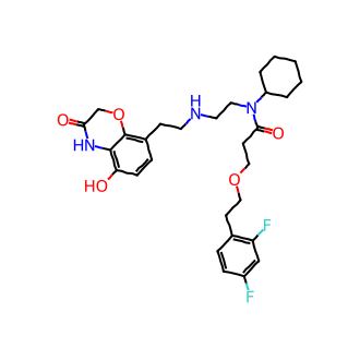 O=C1COc2c(CCNCCN(C(=O)CCOCCc3ccc(F)cc3F)C3CCCCC3)ccc(O)c2N1